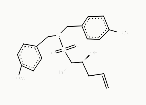 C=CC[C@H](O)[C@H](C(C)C)S(=O)(=O)N(Cc1ccc(OC)cc1)Cc1ccc(OC)cc1